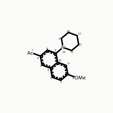 COc1ccc2cc(C(C)=O)cc(N3CCCCC3)c2c1